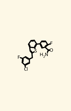 NC(=O)c1cc(-c2cccc3cc(Cc4cc(F)cc(Cl)c4)sc23)ccc1F